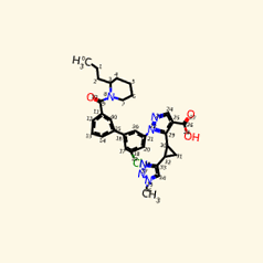 CCCC1CCCCN1C(=O)c1cccc(-c2cc(Cl)cc(-n3ncc(C(=O)O)c3C3CC3c3cn(C)nn3)c2)c1